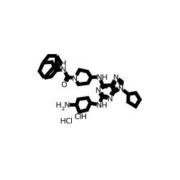 Cl.Cl.NC1CCC(Nc2nc(NC3CCN(C(=O)NC45CC6CC(CC(C6)C4)C5)CC3)c3ncn(C4CCCC4)c3n2)CC1